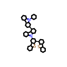 c1ccc(-n2c3ccccc3c3ccc(-c4cccc5c4c4ccccc4n5-c4cc(-c5cccc6c5sc5ccccc56)c5sc6ccccc6c5c4)cc32)cc1